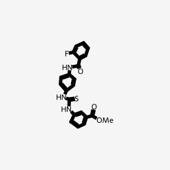 COC(=O)c1cccc(NC(=S)Nc2ccc(NC(=O)c3ccccc3F)cc2)c1